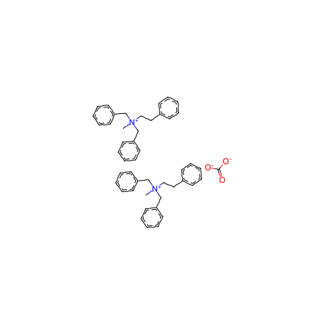 C[N+](CCc1ccccc1)(Cc1ccccc1)Cc1ccccc1.C[N+](CCc1ccccc1)(Cc1ccccc1)Cc1ccccc1.O=C([O-])[O-]